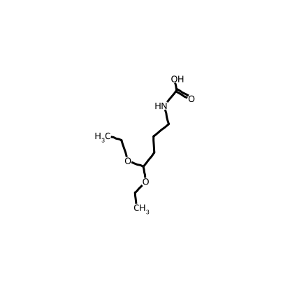 CCOC(CCCNC(=O)O)OCC